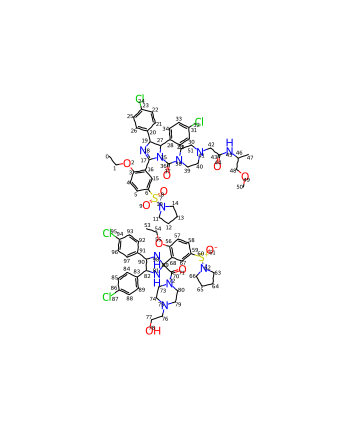 CCOc1ccc(S(=O)(=O)N2CCCC2)cc1C1=NC(c2ccc(Cl)cc2)C(c2ccc(Cl)cc2)N1C(=O)N1CCN(CC(=O)NC(C)COC)CC1.CCOc1ccc([S+]([O-])N2CCCC2)cc1C1(C(=O)N2CCN(CCO)CC2)NC(c2ccc(Cl)cc2)C(c2ccc(Cl)cc2)N1